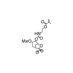 C=C(C)C(=O)OCCNC(=O)OC1C(OC)CC2CC1OS2(=O)=O